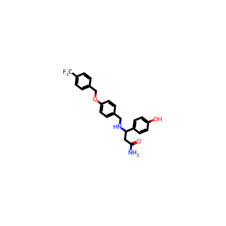 NC(=O)CC(NCc1ccc(OCc2ccc(C(F)(F)F)cc2)cc1)c1ccc(O)cc1